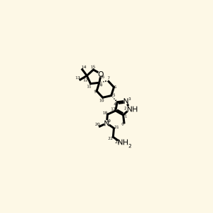 Cc1[nH]nc([C@H]2CC[C@]3(CC2)CC(C)(C)CO3)c1CN(C)CCN